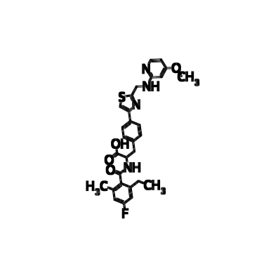 CCc1cc(F)cc(C)c1C(=O)NC(Cc1ccc(-c2csc(CNc3cc(OC)ccn3)n2)cc1)C(=O)O